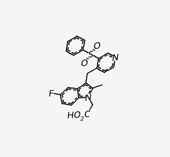 Cc1c(Cc2ccncc2S(=O)(=O)c2ccccc2)c2cc(F)ccc2n1CC(=O)O